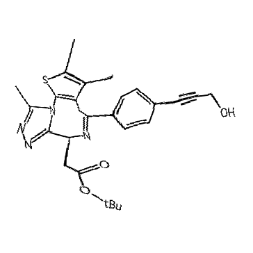 Cc1sc2c(c1C)C(c1ccc(C#CCO)cc1)=N[C@@H](CC(=O)OC(C)(C)C)c1nnc(C)n1-2